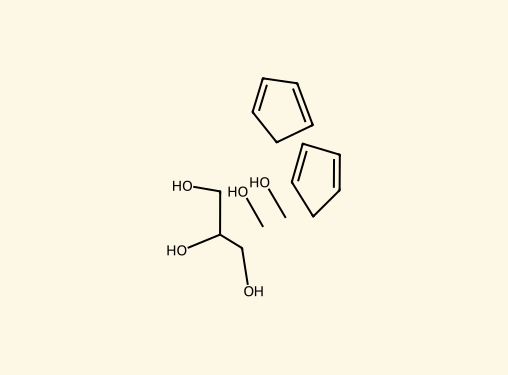 C1=CCC=C1.C1=CCC=C1.CO.CO.OCC(O)CO